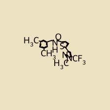 Cc1cc(C)cc(CNC(=O)c2ccc(-c3cc(C(F)(F)F)n(C)n3)s2)c1